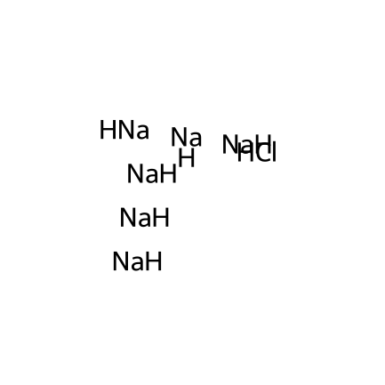 Cl.[NaH].[NaH].[NaH].[NaH].[NaH].[NaH]